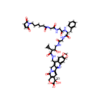 CC[C@@]1(O)C(=O)OCc2c1cc1n(c2=O)Cc2c-1nc1cc3c(cc1c2CNC(=O)C(C(O)CNC(=O)CNC(=O)[C@H](Cc1ccccc1)NC(=O)CNC(=O)CNC(=O)CCCCCN1C(=O)C=CC1=O)C1CC1)OCO3